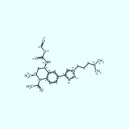 CC(=O)N1c2ccc(-c3cn(CCCN(C)C)nn3)cc2[C@H](NC(=O)OC=O)C[C@@H]1C